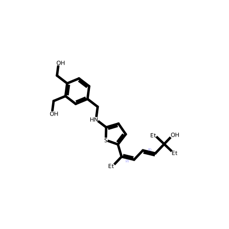 CC/C(=C/C=C/C(O)(CC)CC)c1ccc(NCc2ccc(CO)c(CO)c2)s1